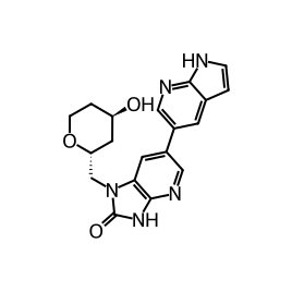 O=c1[nH]c2ncc(-c3cnc4[nH]ccc4c3)cc2n1C[C@H]1C[C@H](O)CCO1